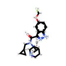 O=C(c1n[nH]c2ccc(OCF)cc12)N(CC1CC1)[C@@H]1CN2CCC1CC2